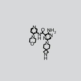 Nc1ncc(N2CCC3(CC2)CNC3)nc1C(=O)Nc1cnccc1N1CCOCC1